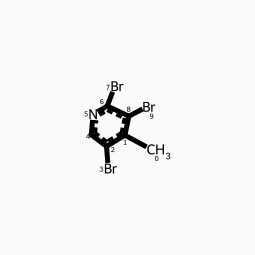 Cc1c(Br)cnc(Br)c1Br